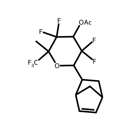 CC(=O)OC1C(F)(F)C(C2CC3C=CC2C3)OC(C)(C(F)(F)F)C1(F)F